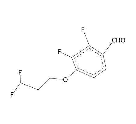 O=Cc1ccc(OCCC(F)F)c(F)c1F